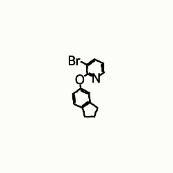 Brc1cccnc1Oc1ccc2c(c1)CCC2